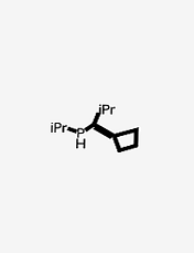 CC(C)PC(=C1CCC1)C(C)C